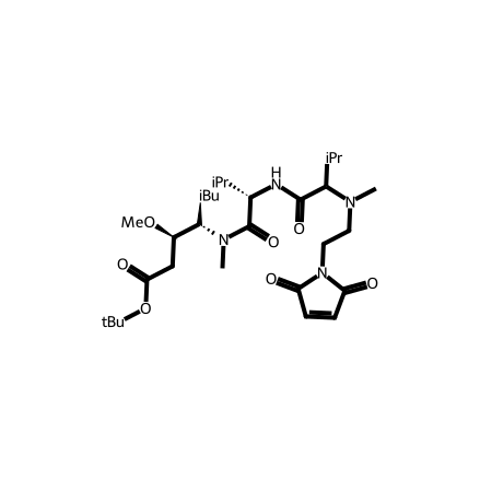 CC[C@H](C)[C@@H]([C@@H](CC(=O)OC(C)(C)C)OC)N(C)C(=O)[C@@H](NC(=O)C(C(C)C)N(C)CCN1C(=O)C=CC1=O)C(C)C